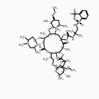 CO/N=C1\C[C@@H](C)O[C@@H](O[C@@H]2[C@@H](C)[C@H](O[C@H]3CC(C)N(C)C[C@H](C)O3)[C@@H](C)C(=O)O[C@H]([C@@H](C)CO[C@@H]3O[C@H](C)[C@@H](O)[C@@H](OC)[C@H]3OC)[C@H](C)[C@@H](OC(=O)CC(C)C)[C@@H](C)C(=O)[C@@](C)(OC(=O)NC(C)(C)CNS(=O)(=O)c3ccccc3C(F)(F)F)C[C@@H]2C)[C@@H]1O